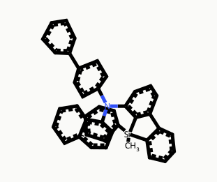 C[Si]1(c2ccccc2)c2ccccc2-c2cccc(N(c3ccc(-c4ccccc4)cc3)c3cccc4ccccc34)c21